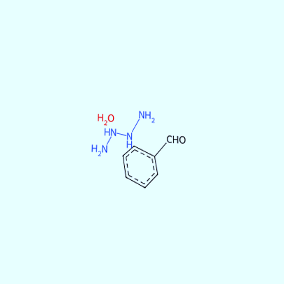 NNNN.O.O=Cc1ccccc1